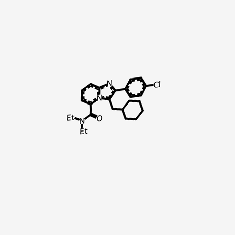 CCN(CC)C(=O)c1cccc2nc(-c3ccc(Cl)cc3)c(CC3CCCCC3)n12